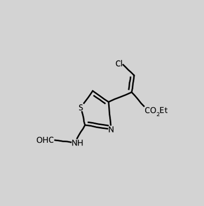 CCOC(=O)/C(=C/Cl)c1csc(NC=O)n1